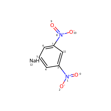 O=[N+]([O-])c1cccc([N+](=O)[O-])c1.[NaH]